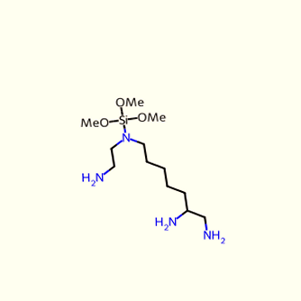 CO[Si](OC)(OC)N(CCN)CCCCCC(N)CN